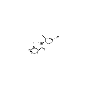 Cc1cc(Br)ccc1NC(=O)c1ccnn1C